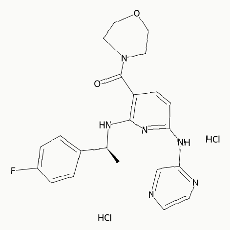 C[C@H](Nc1nc(Nc2cnccn2)ccc1C(=O)N1CCOCC1)c1ccc(F)cc1.Cl.Cl